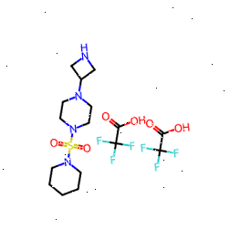 O=C(O)C(F)(F)F.O=C(O)C(F)(F)F.O=S(=O)(N1CCCCC1)N1CCN(C2CNC2)CC1